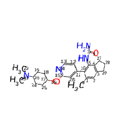 Cc1cc2c(c(NC(N)=O)c1-c1ccnc(OC3CCC(N(C)C)CC3)c1)CCC2